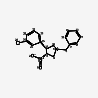 O=[N+]([O-])[C@@H]1CN(Cc2ccccc2)C[C@@H]1c1cccc(Cl)c1